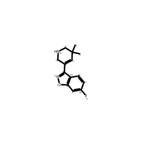 CC1(C)C=C(c2noc3cc(F)ccc23)CNC1